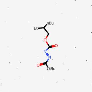 CCCCC(CC)COC(=O)N=NC(=O)OCC(C)C